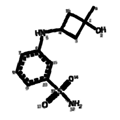 CC1(O)CC(Nc2cccc(S(N)(=O)=O)c2)C1